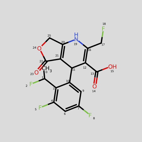 CC(F)c1c(F)cc(F)cc1C1C(C(=O)O)=C(CF)NC2=C1C(=O)OC2